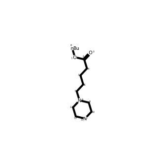 CCCCOC(=O)CCCCN1CC[N]CC1